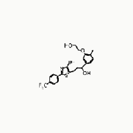 Cc1ccc(C(O)CCc2sc(-c3ccc(C(F)(F)F)cc3)nc2C(C)C)cc1OCCO